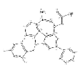 Cc1cc(C)c(Cn2c3cc(-c4ccccc4)cc(OCC(=O)O)c3c3c(C(N)=O)cccc32)c(C)c1